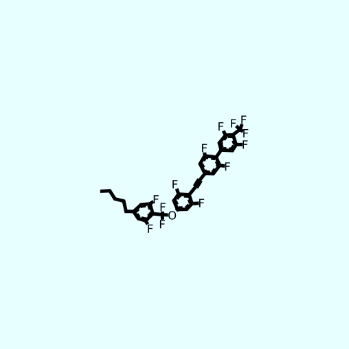 CCCCCc1cc(F)c(C(F)(F)Oc2cc(F)c(C#Cc3cc(F)c(-c4cc(F)c(C(F)(F)F)c(F)c4)c(F)c3)c(F)c2)c(F)c1